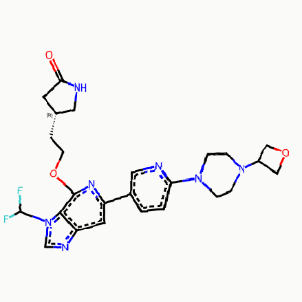 O=C1C[C@@H](CCOc2nc(-c3ccc(N4CCN(C5COC5)CC4)nc3)cc3ncn(C(F)F)c23)CN1